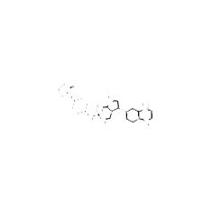 O=C1CCCN1C1CCC(Nc2ncc3c(-c4ccc5nccnc5c4)c[nH]c3n2)CC1